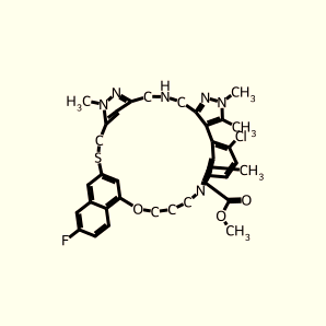 COC(=O)c1c(C)c2c3c(Cl)ccc2n1CCCOc1cc(cc2cc(F)ccc12)SCc1cc(nn1C)CNCc1nn(C)c(C)c1-3